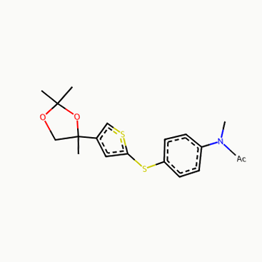 CC(=O)N(C)c1ccc(Sc2cc(C3(C)COC(C)(C)O3)cs2)cc1